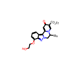 CCOC(=O)c1cn2c(cc1=O)-c1c3cccc(OCCO)c3nn1CC2C(C)(C)C